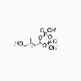 C/C(=C\C1OP(=O)(O)OP(=O)(O)O1)CO